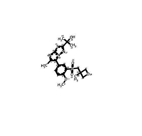 COc1ccc(-c2c(C)nc3sc(C(C)(C)O)nn23)cc1S(=O)(=O)CC1(C)COC1